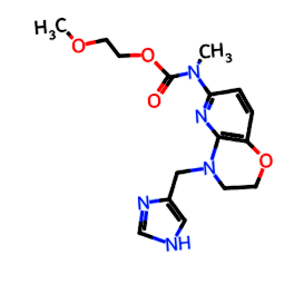 COCCOC(=O)N(C)c1ccc2c(n1)N(Cc1c[nH]cn1)CCO2